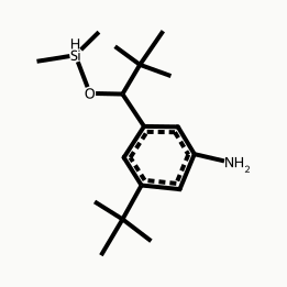 C[SiH](C)OC(c1cc(N)cc(C(C)(C)C)c1)C(C)(C)C